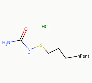 CCCCCCCCSNC(N)=O.Cl